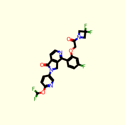 O=C(COc1cc(F)ccc1-c1nccc2c1CN(c1ccc(OC(F)F)nc1)C2=O)N1CC(F)(F)C1